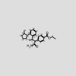 CCOC(=O)c1ccc(C(C(N)=O)C(C)c2ccccc2N2CCCC2C)cc1